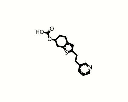 O=C(O)OC1CCc2cc(CCc3cccnc3)sc2C1